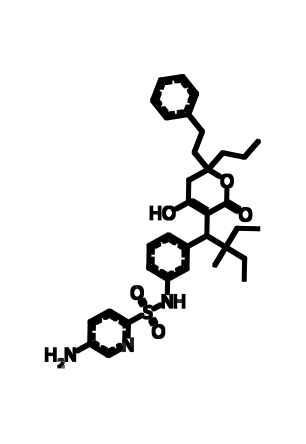 CCCC1(CCc2ccccc2)CC(O)=C(C(c2cccc(NS(=O)(=O)c3ccc(N)cn3)c2)C(C)(CC)CC)C(=O)O1